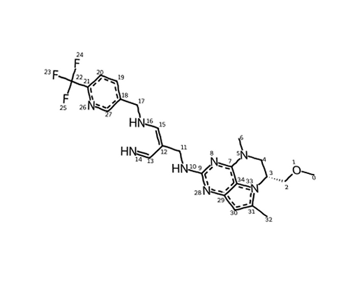 COC[C@H]1CN(C)c2nc(NC/C(C=N)=C/NCc3ccc(C(F)(F)F)nc3)nc3cc(C)n1c23